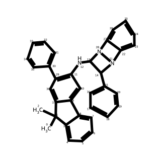 CC1(C)c2ccccc2-c2cc(NC3C(c4ccccc4)n4c5ccccc5n43)c(-c3ccccc3)cc21